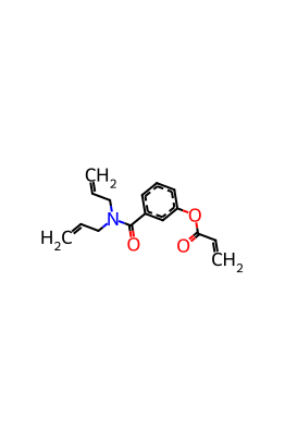 C=CCN(CC=C)C(=O)c1cccc(OC(=O)C=C)c1